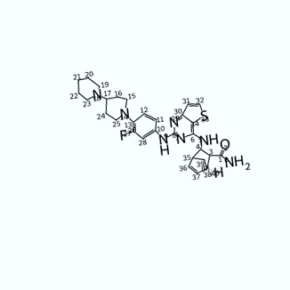 NC(=O)C1C(Nc2nc(Nc3ccc(N4CCC(N5CCCCC5)CC4)c(F)c3)nc3ccsc23)C2C=C[C@H]1C2